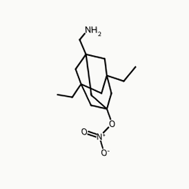 CCC12CC3(CC)CC(CN)(C1)CC(O[N+](=O)[O-])(C2)C3